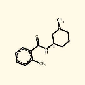 CN1CCC[C@@H](NC(=O)c2ccccc2C(F)(F)F)C1